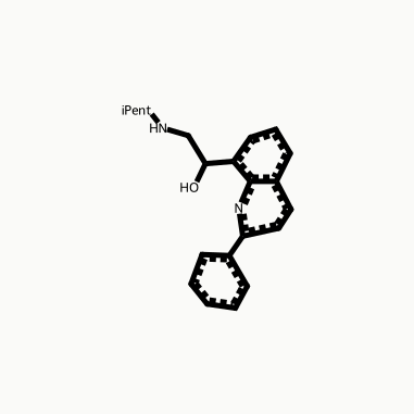 CCCC(C)NCC(O)c1cccc2ccc(-c3ccccc3)nc12